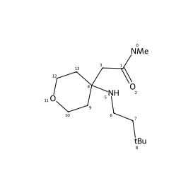 CNC(=O)CC1(NCCC(C)(C)C)CCOCC1